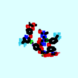 COC(=O)[C@@H](C)Oc1ccc(Oc2ncc(C(F)(F)F)cc2Cl)cc1.COc1nc(C)nc(NC(=O)NS(=O)(=O)c2cc(I)ccc2C(=O)O)n1.CS(=O)(=O)NC(=O)c1cc(Oc2ccc(C(F)(F)F)cc2Cl)ccc1[N+](=O)[O-]